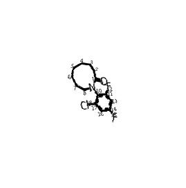 O=C1CCCCCCCN1c1c(F)cc(F)cc1Cl